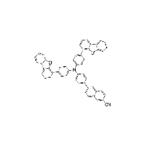 N#Cc1ccc2cc(-c3ccc(N(c4ccc(-c5cccc6c5OC5C=CC=CC65)cc4)c4ccc(-c5cccc6c5oc5ccccc56)cc4)cc3)ccc2c1